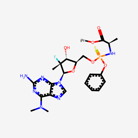 CC(C)OC(=O)[C@@H](C)NP(=S)(OC[C@H]1O[C@@H](n2cnc3c(N(C)C)nc(N)nc32)[C@](C)(F)[C@@H]1O)Oc1ccccc1